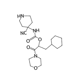 N#CC1(NC(=O)OC(CC2CCCCC2)C(=O)N2CCOCC2)CCNCC1